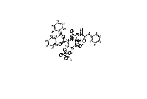 O=C(Cc1ccccc1)NC1C(=O)N2C(C(=O)OC(c3ccccc3)c3ccccc3)=C(OS(=O)(=O)C(F)(F)F)C[S+]([O-])[C@@H]12